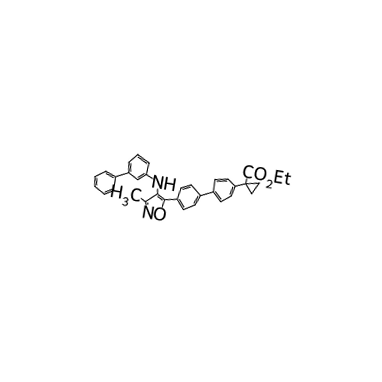 CCOC(=O)C1(c2ccc(-c3ccc(-c4onc(C)c4Nc4cccc(-c5ccccc5)c4)cc3)cc2)CC1